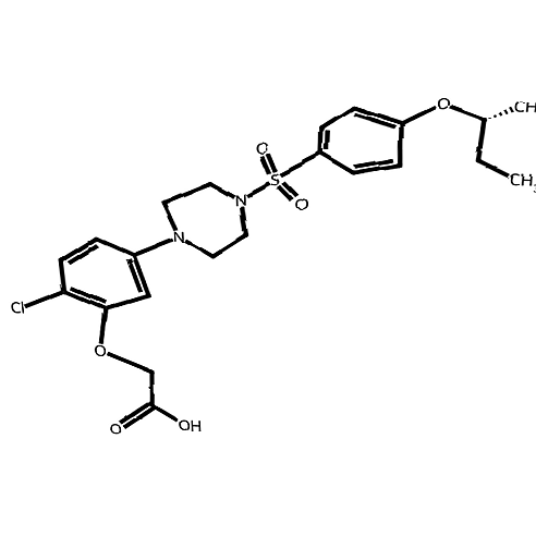 CC[C@@H](C)Oc1ccc(S(=O)(=O)N2CCN(c3ccc(Cl)c(OCC(=O)O)c3)CC2)cc1